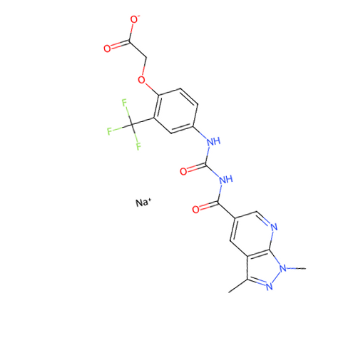 Cc1nn(C)c2ncc(C(=O)NC(=O)Nc3ccc(OCC(=O)[O-])c(C(F)(F)F)c3)cc12.[Na+]